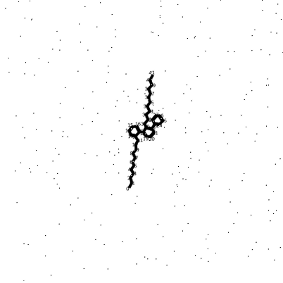 CCCCCCCCCCCCc1ccccc1-c1cccc(-c2ccccc2)c1CCCCCCCCCCCC